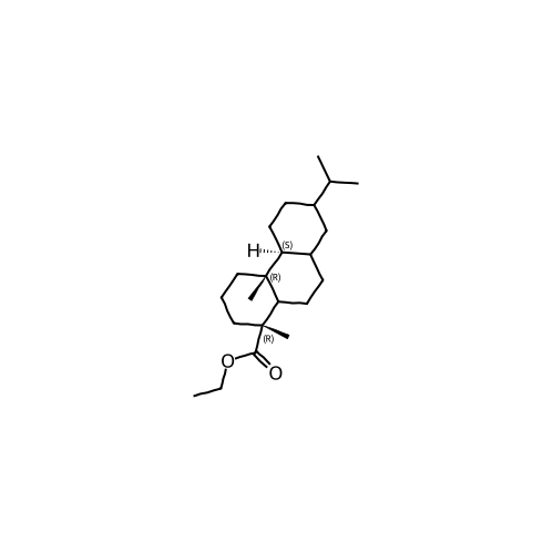 CCOC(=O)[C@]1(C)CCC[C@@]2(C)C1CCC1CC(C(C)C)CC[C@@H]12